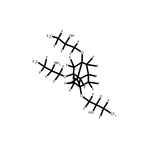 NC(F)(C(F)(F)OC12C(F)(F)C3(F)C(F)(F)C(OC(F)(F)C(O)(F)C(F)(F)C(F)(F)F)(C1(F)F)C(F)(F)C(OC(F)(F)C(O)(F)C(F)(F)C(F)(F)F)(C3(F)F)C2(F)F)C(F)(F)C(F)(F)F